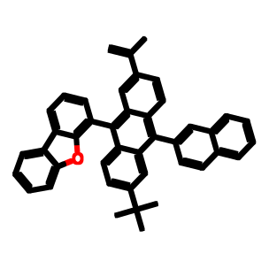 C=C(C)c1ccc2c(-c3ccc4ccccc4c3)c3cc(C(C)(C)C)ccc3c(-c3cccc4c3oc3ccccc34)c2c1